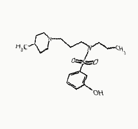 CCCN(CCCN1CCC(C)CC1)S(=O)(=O)c1cccc(O)c1